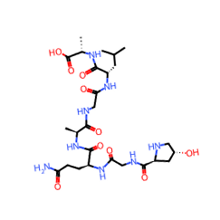 CC(C)C[C@H](NC(=O)CNC(=O)[C@H](C)NC(=O)[C@H](CCC(N)=O)NC(=O)CNC(=O)[C@@H]1C[C@@H](O)CN1)C(=O)N[C@@H](C)C(=O)O